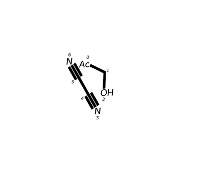 CC(=O)CO.N#CC#N